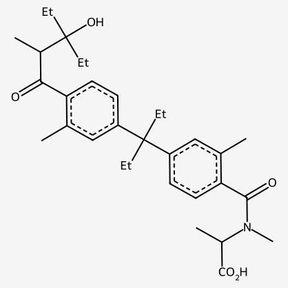 CCC(CC)(c1ccc(C(=O)C(C)C(O)(CC)CC)c(C)c1)c1ccc(C(=O)N(C)C(C)C(=O)O)c(C)c1